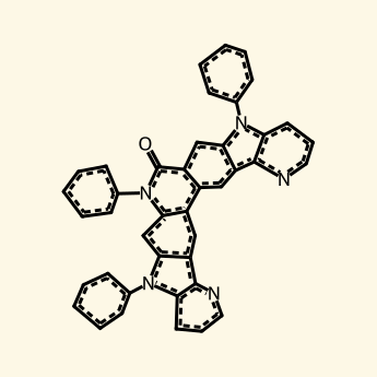 O=c1c2cc3c(cc2c2cc4c5ncccc5n(-c5ccccc5)c4cc2n1-c1ccccc1)c1ncccc1n3-c1ccccc1